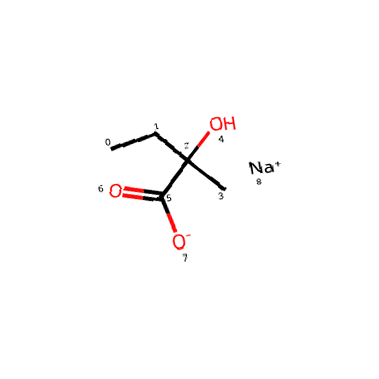 CCC(C)(O)C(=O)[O-].[Na+]